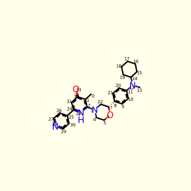 Cc1c(N2CCO[C@@H](c3ccc(N(C)C4CCCCC4)cc3)C2)[nH]c(-c2ccncc2)cc1=O